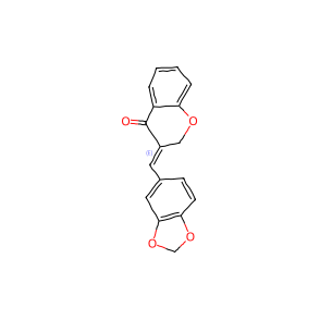 O=C1/C(=C/c2ccc3c(c2)OCO3)COc2ccccc21